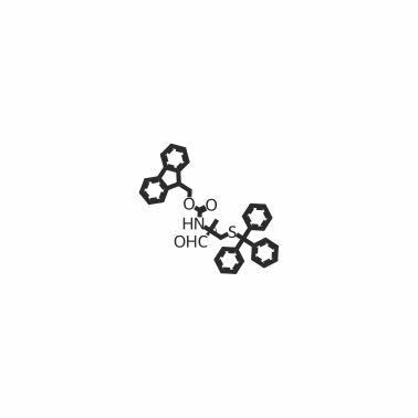 C[C@](C=O)(CSC(c1ccccc1)(c1ccccc1)c1ccccc1)NC(=O)OCC1c2ccccc2-c2ccccc21